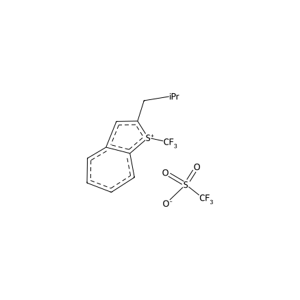 CC(C)Cc1cc2ccccc2[s+]1C(F)(F)F.O=S(=O)([O-])C(F)(F)F